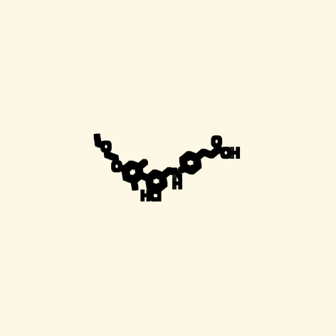 CCOCCOc1cc(C)c(-c2cccc(CNc3ccc(CCC(=O)O)cc3)c2)c(C)c1.Cl